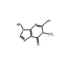 CC(C)c1nc2c(ncn2C(C)(C)C)c(=O)n1C